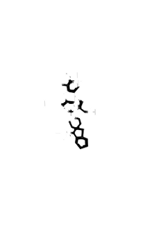 Cc1nc(N2CCC3(CC2)Cc2ccccc2C3N)n2c(CO)cnc2c1Sc1ccnc(N)c1Cl